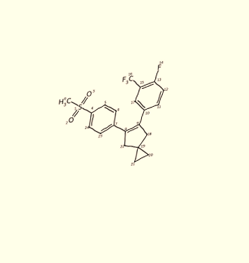 CS(=O)(=O)c1ccc(C2=C(c3ccc(F)c(C(F)(F)F)c3)CC3(CC3)C2)cc1